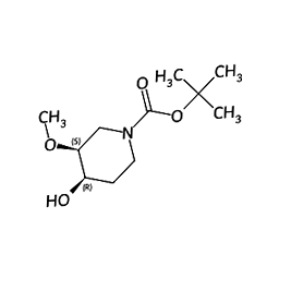 CO[C@H]1CN(C(=O)OC(C)(C)C)CC[C@H]1O